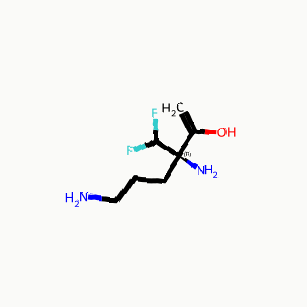 C=C(O)[C@](N)(CCCN)C(F)F